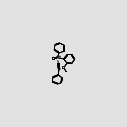 COc1ccccc1[P@](=O)(C#Cc1ccccc1)c1ccccc1